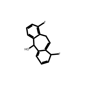 OC1C2=CC=CC(F)C2=CCc2c(F)cccc21